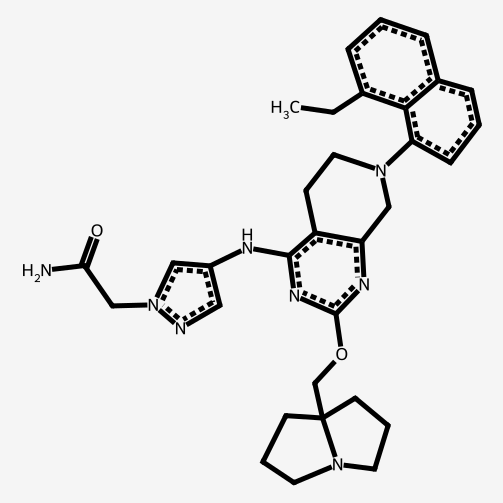 CCc1cccc2cccc(N3CCc4c(nc(OCC56CCCN5CCC6)nc4Nc4cnn(CC(N)=O)c4)C3)c12